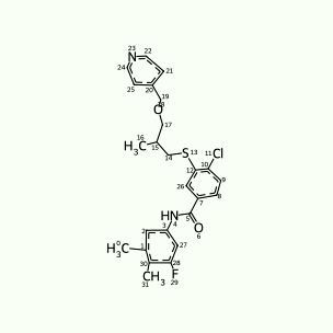 Cc1cc(NC(=O)c2ccc(Cl)c(SCC(C)COCc3ccncc3)c2)cc(F)c1C